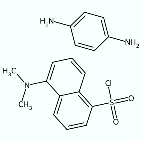 CN(C)c1cccc2c(S(=O)(=O)Cl)cccc12.Nc1ccc(N)cc1